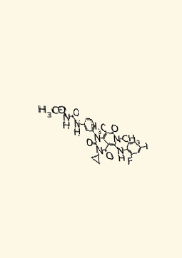 CONC(=O)Nc1cccc(-n2c(=O)n(C3CC3)c(=O)c3c(Nc4ccc(I)cc4F)n(C)c(=O)c(C)c32)c1